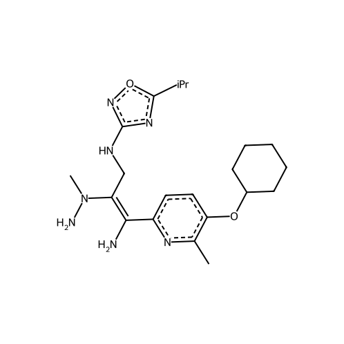 Cc1nc(/C(N)=C(\CNc2noc(C(C)C)n2)N(C)N)ccc1OC1CCCCC1